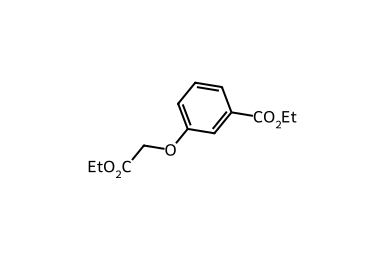 CCOC(=O)COc1cccc(C(=O)OCC)c1